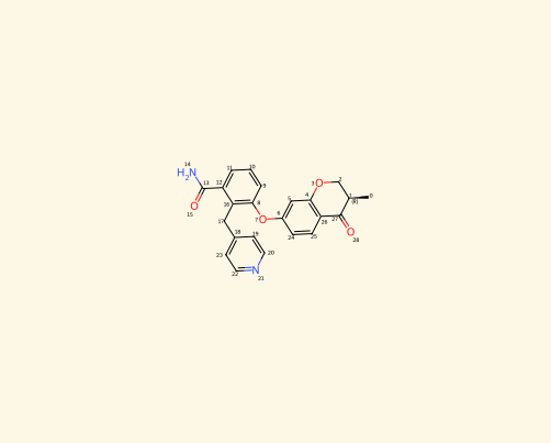 C[C@@H]1COc2cc(Oc3cccc(C(N)=O)c3Cc3ccncc3)ccc2C1=O